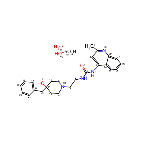 Cc1cc(NC(=O)NCCN2CCC(O)(Cc3ccccc3)CC2)c2ccccc2n1.O.O=S(=O)(O)O